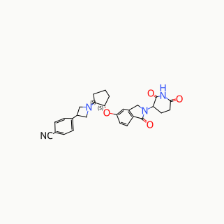 N#Cc1ccc(C2CN([C@H]3CCC[C@@H]3Oc3ccc4c(c3)CN(C3CCC(=O)NC3=O)C4=O)C2)cc1